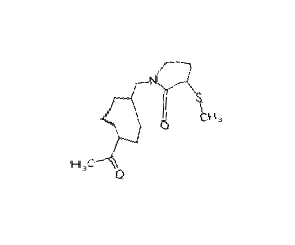 CSC1CCN(CC2CCC(C(C)=O)CC2)C1=O